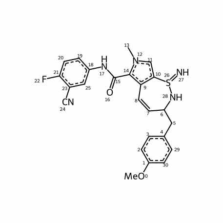 COc1ccc(CC2C=Cc3c(cn(C)c3C(=O)Nc3ccc(F)c(C#N)c3)S(=N)N2)cc1